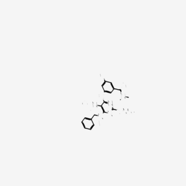 CSc1nc(NCc2ccccc2)c([N+](=O)[O-])c(Oc2cc(C(=O)N(C)C)cc(C(F)(F)F)c2)n1